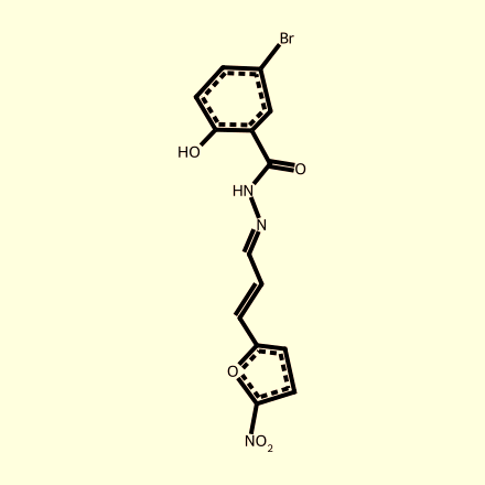 O=C(NN=CC=Cc1ccc([N+](=O)[O-])o1)c1cc(Br)ccc1O